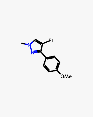 CCc1cn(C)nc1-c1ccc(OC)cc1